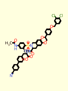 CC(=O)Nc1ccc(S(=O)(=O)N2Cc3cc4c(cc3CC2C(=O)NC(Cc2ccc(-c3ccc(C#N)cc3)cc2)C(=O)O)OCC(c2ccc(OCc3ccc(Cl)c(Cl)c3)cc2)O4)c(C)c1